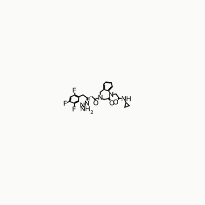 NN=N[C@@H](CC(=O)N1CC(=O)N(CC(=O)NC2CC2)c2ccccc2C1)Cc1cc(F)c(F)cc1F